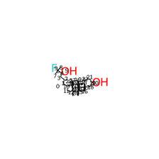 C[C@H](CCC(O)C(C)(C)F)[C@H]1CC[C@H]2[C@@H]3CC=C4C[C@@H](O)CC[C@]4(C)[C@H]3CC[C@]12C